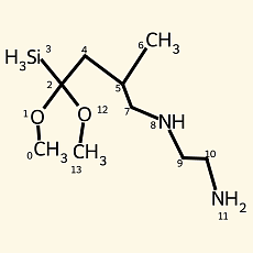 COC([SiH3])(CC(C)CNCCN)OC